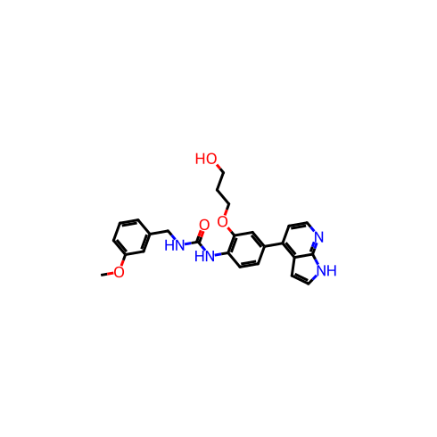 COc1cccc(CNC(=O)Nc2ccc(-c3ccnc4[nH]ccc34)cc2OCCCO)c1